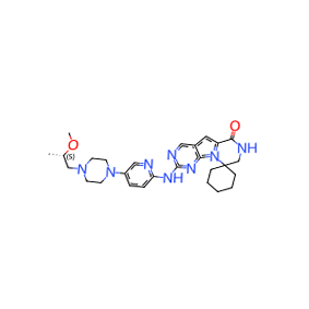 CO[C@@H](C)CN1CCN(c2ccc(Nc3ncc4cc5n(c4n3)C3(CCCCC3)CNC5=O)nc2)CC1